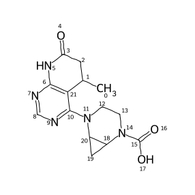 CC1CC(=O)Nc2ncnc(N3CCN(C(=O)O)C4CC43)c21